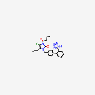 CCCC(=O)n1c(F)c(CCC)n(Cc2ccc(-c3ccccc3-c3nnn[nH]3)cc2)c1=O